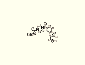 CC(C)(C)OC(=O)N1CCN(C(=O)c2ccc(CN3CCOCC3)cc2)CC1